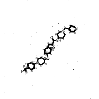 O=C(NC1CCN(Cc2ccncc2)CC1)c1cc2ccc(OC3CCN(c4ccc(C(F)(F)F)cc4)CC3)cc2s1